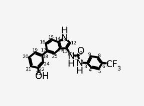 O=C(Nc1ccc(C(F)(F)F)cc1)Nc1c[nH]c2ccc(-c3cccc(O)c3)cc12